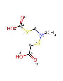 CN(CSC(=O)O)SCC(=O)O